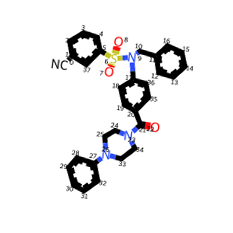 N#Cc1cccc(S(=O)(=O)N(Cc2ccccc2)c2ccc(C(=O)N3CCN(c4ccccc4)CC3)cc2)c1